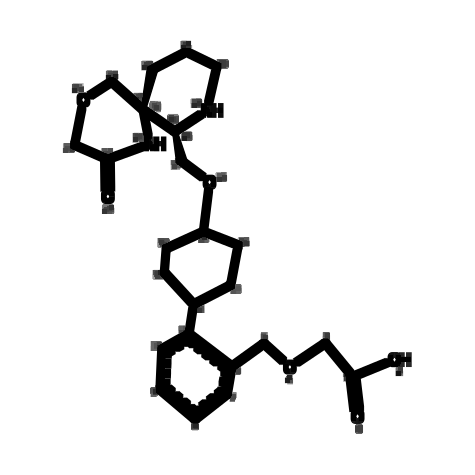 O=C(O)COCc1ccccc1C1CCC(OC[C@@H]2NCCC[C@@]23COCC(=O)N3)CC1